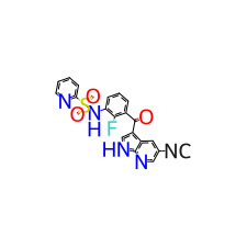 [C-]#[N+]c1cnc2[nH]cc(C(=O)c3cccc(NS(=O)(=O)c4ccccn4)c3F)c2c1